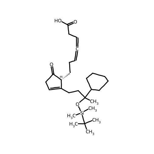 CC(CCC1=CCC(=O)[C@@H]1CCC=C=CCC(=O)O)(O[Si](C)(C)C(C)(C)C)C1CCCCC1